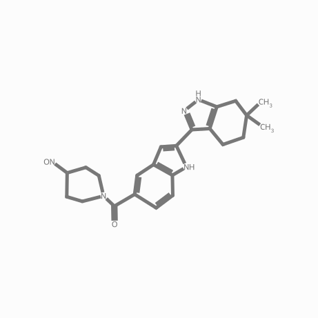 CC1(C)CCc2c(-c3cc4cc(C(=O)N5CCC(N=O)CC5)ccc4[nH]3)n[nH]c2C1